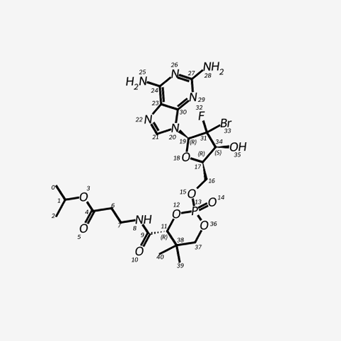 CC(C)OC(=O)CCNC(=O)[C@@H]1OP(=O)(OC[C@H]2O[C@@H](n3cnc4c(N)nc(N)nc43)C(F)(Br)[C@H]2O)OCC1(C)C